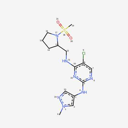 Cn1cc(Nc2ncc(Cl)c(NCC3CCCN3S(C)(=O)=O)n2)cn1